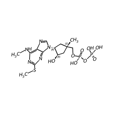 CNc1nc(SC)nc2c1ncn2[C@@H]1C[C@](C)(COP(=O)(O)OP(=O)(O)O)C[C@H]1O